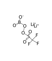 O=S(=O)(OOB([O-])[O-])C(F)(F)F.[Li+].[Li+]